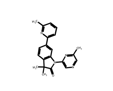 Cc1cccc(-c2ccc3c(c2)N(c2cncc(C)n2)C(=O)C3(C)C)n1